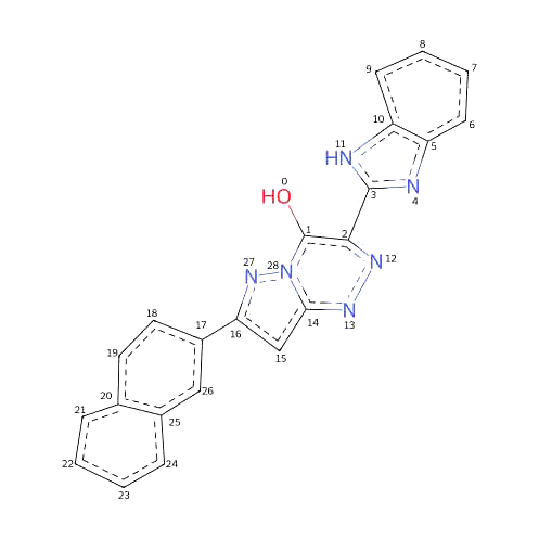 Oc1c(-c2nc3ccccc3[nH]2)nnc2cc(-c3ccc4ccccc4c3)nn12